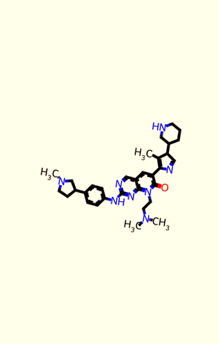 CC1=C(c2cc3cnc(Nc4ccc(C5CCN(C)C5)cc4)nc3n(CCN(C)C)c2=O)N=CC1C1CCCNC1